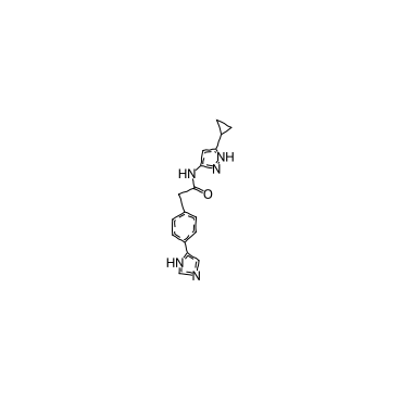 O=C(Cc1ccc(-c2cnc[nH]2)cc1)Nc1cc(C2CC2)[nH]n1